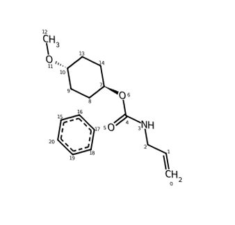 C=CCNC(=O)O[C@H]1CC[C@H](OC)CC1.c1ccccc1